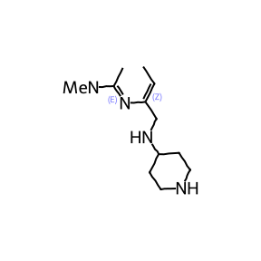 C/C=C(CNC1CCNCC1)\N=C(/C)NC